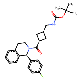 CC(C)(C)OC(=O)NC[C@H]1C[C@@H](C(=O)N2CCc3ccccc3[C@@H]2c2ccc(F)cc2)C1